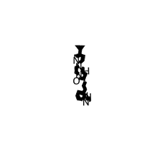 O=C1[C@@H](CCCc2cccc3ncnn23)C[C@H]2CN(c3ccc(C4CC4)cn3)CCN12